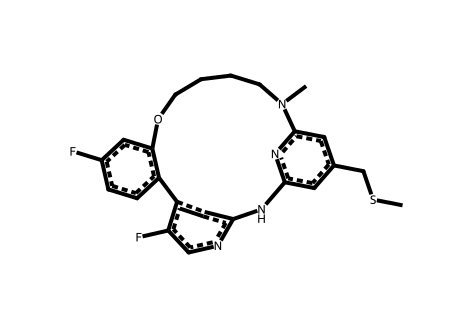 CSCc1cc2nc(c1)N(C)CCCCOc1cc(F)ccc1-c1cc(ncc1F)N2